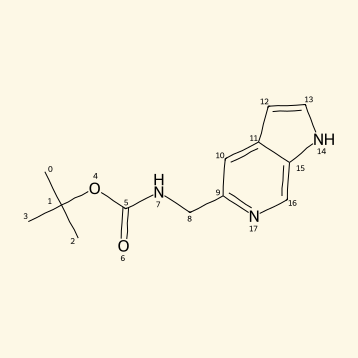 CC(C)(C)OC(=O)NCc1cc2cc[nH]c2cn1